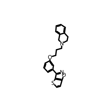 c1cc(OCCCN2CCc3ccccc3C2)cc(-c2noc3ccsc23)c1